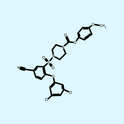 COc1ccc(OC(=O)N2CCN(S(=O)(=O)c3cc(C#N)ccc3Oc3cc(Cl)cc(Cl)c3)CC2)cc1